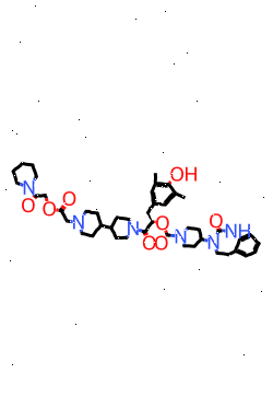 Cc1cc(C[C@@H](OC(=O)N2CCC(N3CCc4ccccc4NC3=O)CC2)C(=O)N2CCC(C3CCN(CC(=O)OCC(=O)N4CCCCC4)CC3)CC2)cc(C)c1O